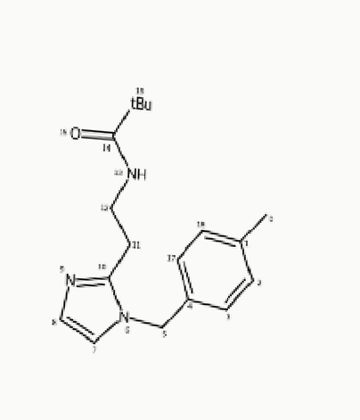 Cc1ccc(Cn2ccnc2CCNC(=O)C(C)(C)C)cc1